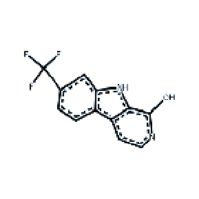 Oc1nccc2c1[nH]c1cc(C(F)(F)F)ccc12